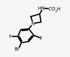 O=C(O)NC1CN(c2cc(F)c(Br)cc2F)C1